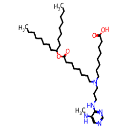 CCCCCCCCC(CCCCCCCC)OC(=O)CCCCCCCN(CCCCCCCC(=O)O)CCCNc1ncncc1NC